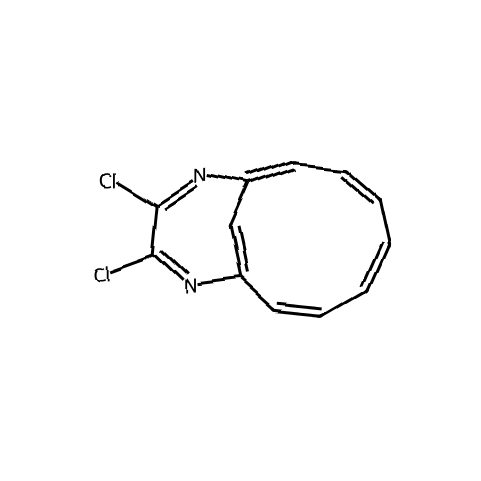 ClC1=Nc2cccccccc(c2)N=C1Cl